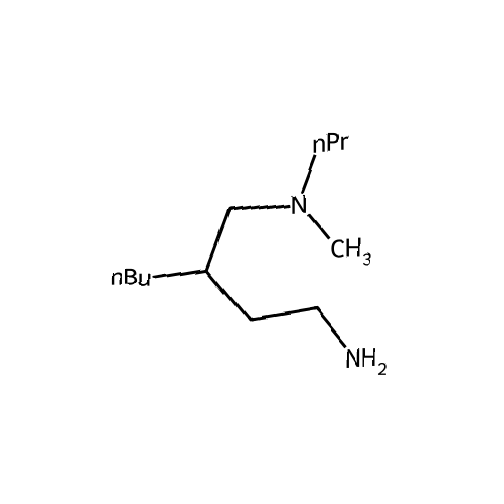 CCCCC(CCN)CN(C)CCC